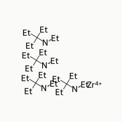 CC[N-]C(CC)(CC)CC.CC[N-]C(CC)(CC)CC.CC[N-]C(CC)(CC)CC.CC[N-]C(CC)(CC)CC.[Zr+4]